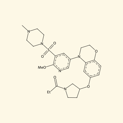 CCC(=O)N1CCC(Oc2ccc3c(c2)N(c2cnc(OC)c(S(=O)(=O)N4CCN(C)CC4)c2)CCO3)C1